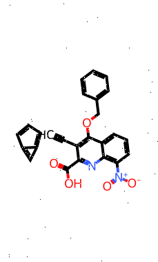 C#Cc1c(C(=O)O)nc2c([N+](=O)[O-])cccc2c1OCc1ccccc1.c1cc2cc-2c1